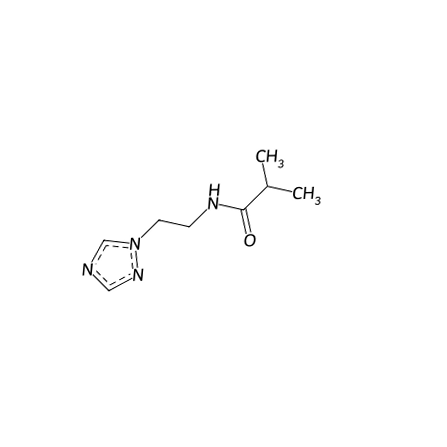 CC(C)C(=O)NCCn1cncn1